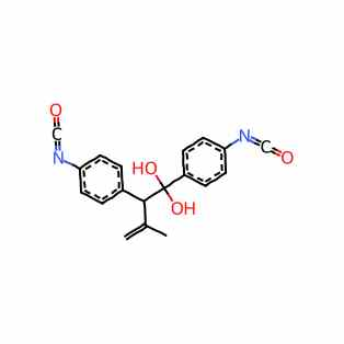 C=C(C)C(c1ccc(N=C=O)cc1)C(O)(O)c1ccc(N=C=O)cc1